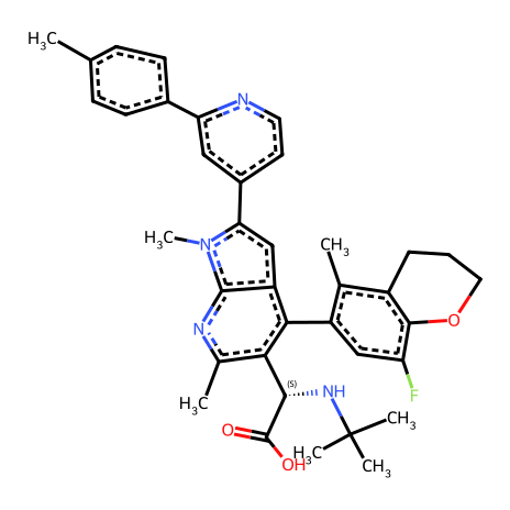 Cc1ccc(-c2cc(-c3cc4c(-c5cc(F)c6c(c5C)CCCO6)c([C@H](NC(C)(C)C)C(=O)O)c(C)nc4n3C)ccn2)cc1